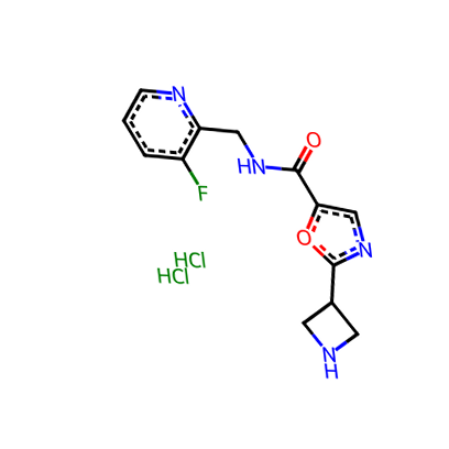 Cl.Cl.O=C(NCc1ncccc1F)c1cnc(C2CNC2)o1